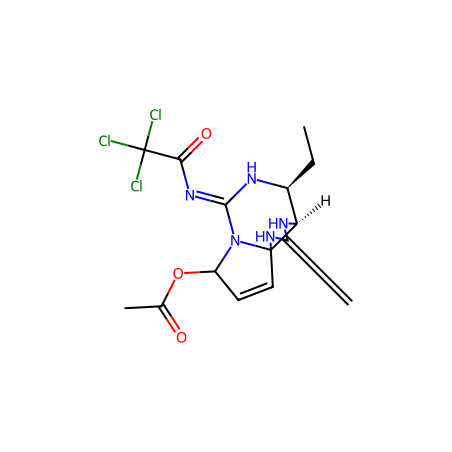 C=C1N[C@H]2[C@H](CC)N/C(=N\C(=O)C(Cl)(Cl)Cl)N3C(OC(C)=O)C=CC23N1